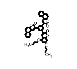 CCCCOc1cc(OCCCC)c2cc(-c3cc(-c4cc5c(ccc6ccccc65)oc4=O)cc(-c4cc5c(ccc6ccccc65)oc4=O)c3)c(=O)oc2c1